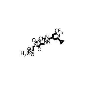 CN1C(=O)N(CCS(C)(=O)=O)C(=O)C1=Cn1cnc(-c2cc(C3CC3)nc(C(F)(F)F)c2)n1